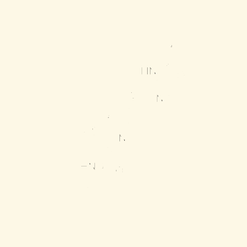 CCCNC(=O)c1nc(-c2sc(NC(C)=O)nc2C)cs1